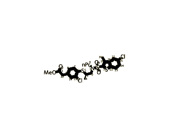 CCCN(C[C@@H](C)Sc1ccc(CC(=O)OC)cc1Cl)S(=O)(=O)c1sc2ccc(Cl)cc2c1C